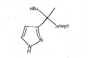 CCCCCCCC(C)(CCCC)c1cc[nH]n1